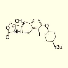 CCCC[C@H]1CC[C@@H](Oc2ccc3cc([C@]4(C)COC(=O)N4)ccc3c2I)CC1